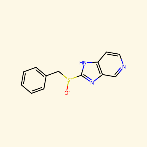 [O-][S+](Cc1ccccc1)c1nc2cnccc2[nH]1